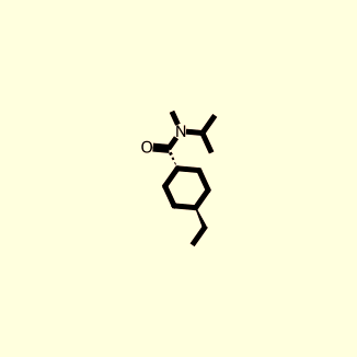 CC[C@H]1CC[C@H](C(=O)N(C)C(C)C)CC1